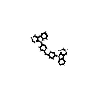 c1ccc2c(c1)c1cncnc1n2-c1ccc(Cc2ccc(-n3c4ccccc4c4cncnc43)cc2)cc1